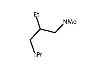 CCCCC(CC)CNC